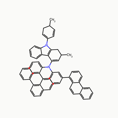 CC1C=CC(n2c3c(c4ccccc42)C(N(c2cccc(-c4cccc5c4ccc4ccccc45)c2)c2ccccc2-c2cccc4cccc(-c5ccccc5)c24)=CC(C)C3)=CC1